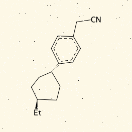 CC[C@H]1CC[C@H](c2ccc(CC#N)cc2)CC1